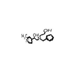 Cc1cc(C(O)CN(CCO)Cc2ccccc2)ccn1